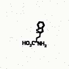 NC(CCc1cc2ccccc2s1)C(=O)O